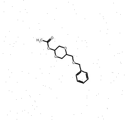 CC(=O)OC1COC(COCc2ccccc2)CO1